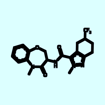 CN1C(=O)C(NC(=O)c2c3c(nn2C)CCC(C(F)(F)F)C3)COc2ccccc21